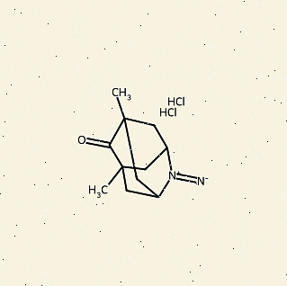 CC12CC3CC(C)(CC(C1)[N+]3=[N-])C2=O.Cl.Cl